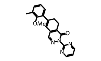 COc1c(C)cccc1C1=Cc2cnn(-c3ncccn3)c(=O)c2CC1